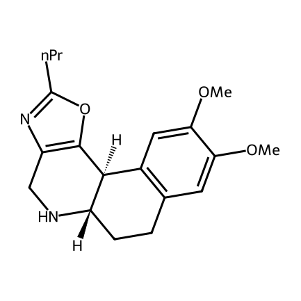 CCCc1nc2c(o1)[C@H]1c3cc(OC)c(OC)cc3CC[C@@H]1NC2